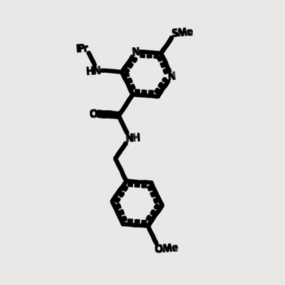 COc1ccc(CNC(=O)c2cnc(SC)nc2NC(C)C)cc1